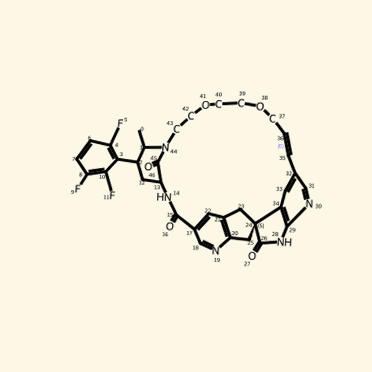 CC1C(c2c(F)ccc(F)c2F)CC2NC(=O)c3cnc4c(c3)C[C@@]3(C4)C(=O)Nc4ncc(cc43)/C=C/COCCOCCN1C2=O